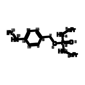 CCCNP(=O)(NCCC)OCc1ccc(NC(C)C)cc1